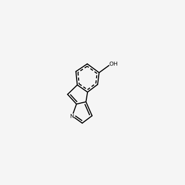 Oc1ccc2c(c1)C1=CC=NC1=C2